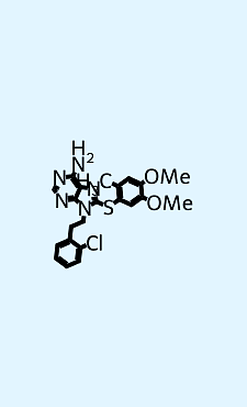 COc1cc(C)c(Sc2nc3c(N)ncnc3n2CCc2ccccc2Cl)cc1OC